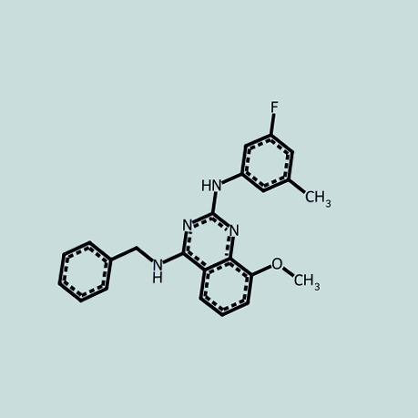 COc1cccc2c(NCc3ccccc3)nc(Nc3cc(C)cc(F)c3)nc12